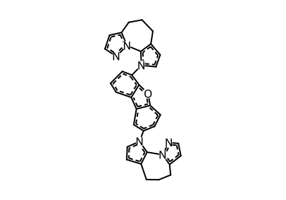 c1cc(-n2ccc3c2-n2nccc2CCC3)c2oc3ccc(-n4ccc5c4-n4nccc4CCC5)cc3c2c1